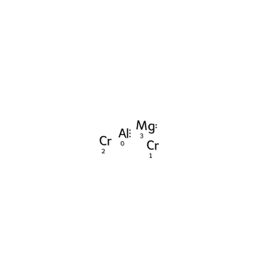 [Al].[Cr].[Cr].[Mg]